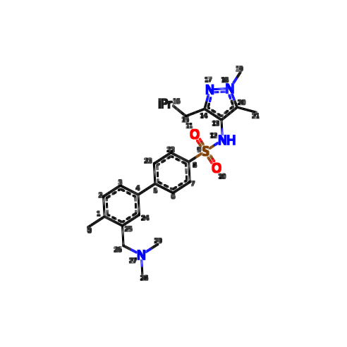 Cc1ccc(-c2ccc(S(=O)(=O)Nc3c(CC(C)C)nn(C)c3C)cc2)cc1CN(C)C